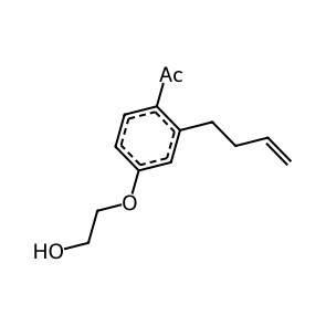 C=CCCc1cc(OCCO)ccc1C(C)=O